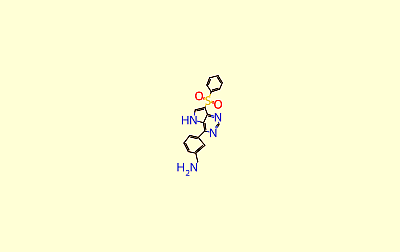 NCc1cccc(-c2ncnc3c(S(=O)(=O)c4ccccc4)c[nH]c23)c1